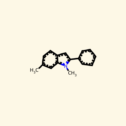 Cc1ccc2cc(-c3ccccc3)n(C)c2c1